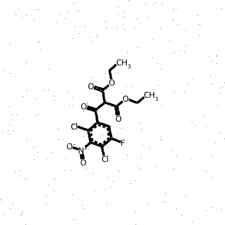 CCOC(=O)C(C(=O)OCC)C(=O)c1cc(F)c(Cl)c([N+](=O)[O-])c1Cl